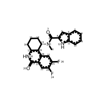 CN(C(=O)c1cc2ccccc2[nH]1)[C@H]1CCCc2[nH]c(=O)c3cc(F)c(F)cc3c21